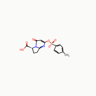 Cc1ccc(S(=O)(=O)Oc2cc(=O)n3c(n2)CC[C@H]3C(=O)O)cc1